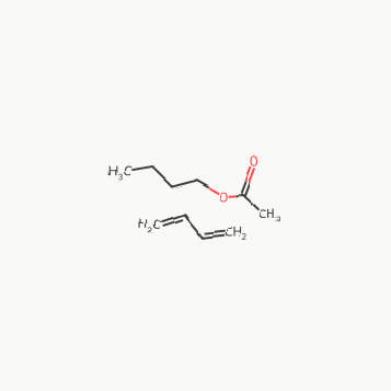 C=CC=C.CCCCOC(C)=O